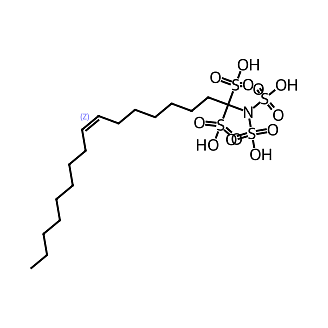 CCCCCCCC/C=C\CCCCCCC(N(S(=O)(=O)O)S(=O)(=O)O)(S(=O)(=O)O)S(=O)(=O)O